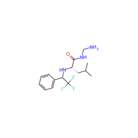 CC(C)C[C@H](NC(c1ccccc1)C(F)(F)F)C(=O)NCN